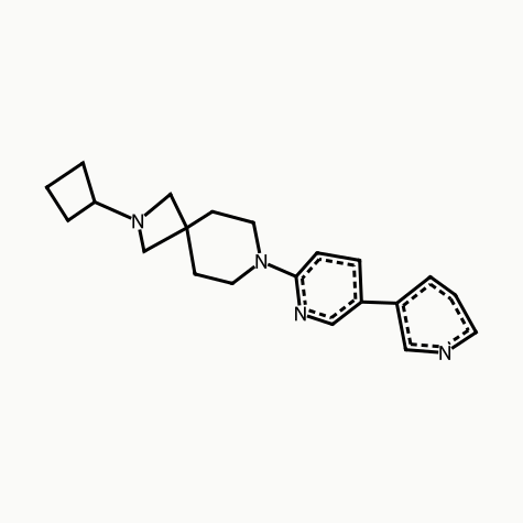 c1cncc(-c2ccc(N3CCC4(CC3)CN(C3CCC3)C4)nc2)c1